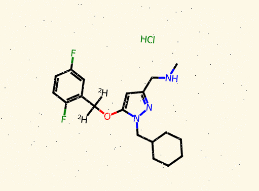 Cl.[2H]C([2H])(Oc1cc(CNC)nn1CC1CCCCC1)c1cc(F)ccc1F